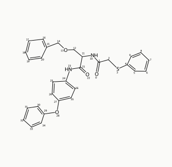 O=C(CSc1ccccc1)NC(COCc1ccccc1)C(=O)Nc1ccc(Oc2ccccc2)cc1